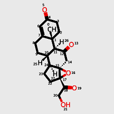 C[C@]12CCC(=O)C=C1CC[C@@H]1[C@@H]2C(=O)C[C@]23O[C@]2(C(=O)CO)CC[C@@H]13